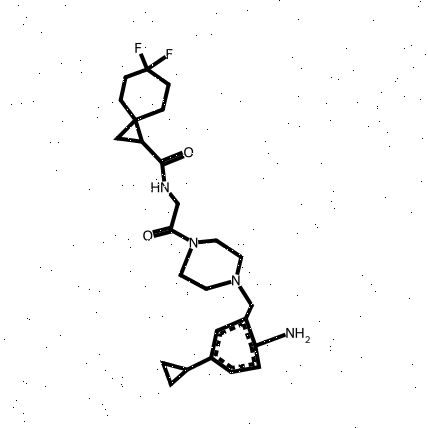 Nc1ccc(C2CC2)cc1CN1CCN(C(=O)CNC(=O)C2CC23CCC(F)(F)CC3)CC1